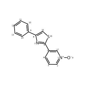 [O-][n+]1cccc(-c2nc(-c3ccccc3)cs2)c1